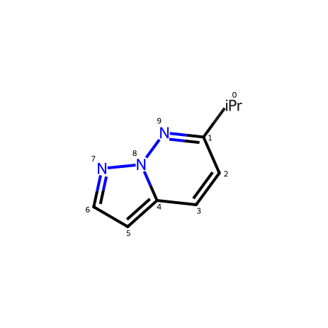 CC(C)c1ccc2ccnn2n1